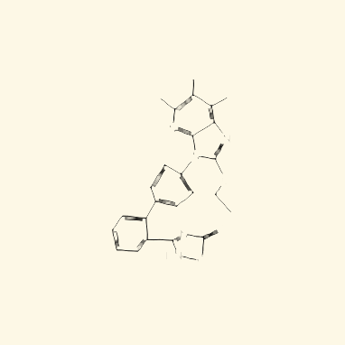 CCOc1nc2c(C)c(C)c(C)nc2n1-c1ccc(-c2ccccc2-c2nc(=S)o[nH]2)cc1